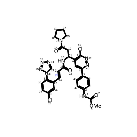 COC(=O)Nc1ccc(-c2cc(C(CC(=O)N3CCCC3)NC(=O)/C=C/c3cc(Cl)ccc3-n3cnnn3)c(Cl)nn2)cc1